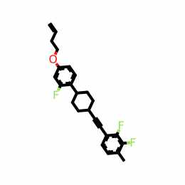 C=CCCOc1ccc(C2CCC(C#Cc3ccc(C)c(F)c3F)CC2)c(F)c1